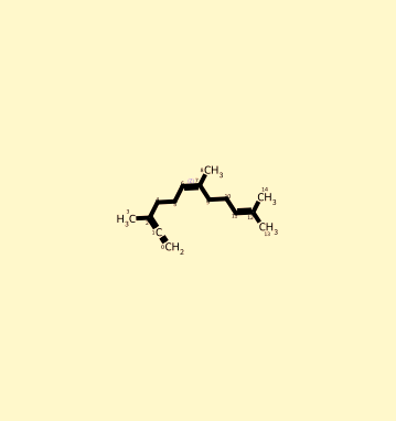 C=C=C(C)CC/C=C(/C)CCC=C(C)C